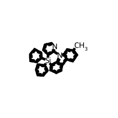 Cc1ccc2c3cccc4c3n(c2c1)-c1ncccc1[Si]4(c1ccccc1)c1ccccc1